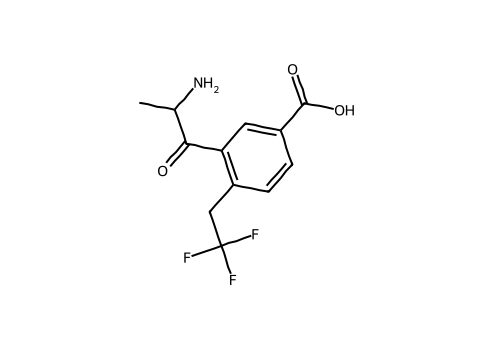 CC(N)C(=O)c1cc(C(=O)O)ccc1CC(F)(F)F